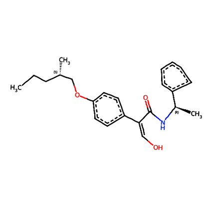 CCC[C@H](C)COc1ccc(C(=CO)C(=O)N[C@H](C)c2ccccc2)cc1